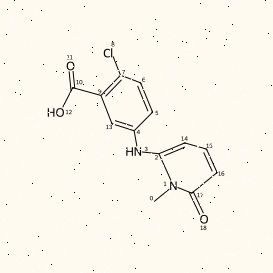 Cn1c(Nc2ccc(Cl)c(C(=O)O)c2)cccc1=O